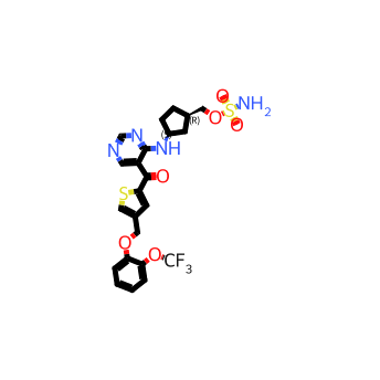 NS(=O)(=O)OC[C@@H]1CC[C@H](Nc2ncncc2C(=O)c2cc(COc3ccccc3OC(F)(F)F)cs2)C1